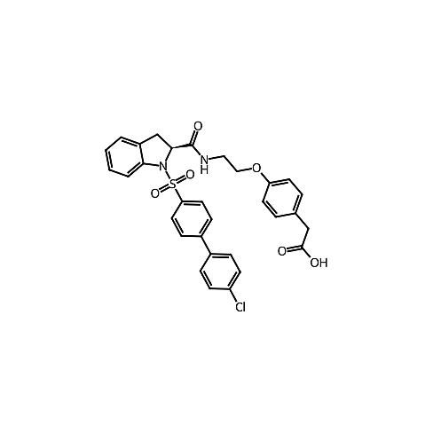 O=C(O)Cc1ccc(OCCNC(=O)[C@@H]2Cc3ccccc3N2S(=O)(=O)c2ccc(-c3ccc(Cl)cc3)cc2)cc1